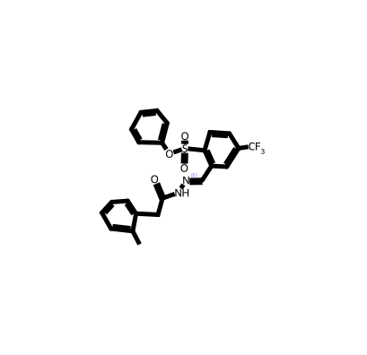 Cc1ccccc1CC(=O)N/N=C/c1cc(C(F)(F)F)ccc1S(=O)(=O)Oc1ccccc1